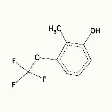 Cc1c(O)cccc1OC(F)(F)F